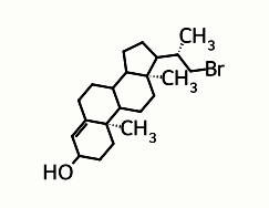 C[C@H](CBr)C1CCC2C3CCC4=CC(O)CC[C@]4(C)C3CC[C@@]21C